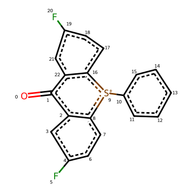 O=c1c2cc(F)ccc2[s+](-c2ccccc2)c2ccc(F)cc12